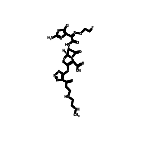 CNCCNCCC(=S)c1nnsc1SC1=C(C(=O)O)N2C(=O)[C@@H](NC(=O)/C(=N\OCCF)c3nc(N)sc3Cl)[C@@H]2SC1